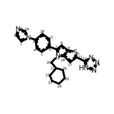 c1cn(-c2ccc(-c3cc4sc(-c5nnn[nH]5)cc4n3CC3CCCCC3)cc2)cn1